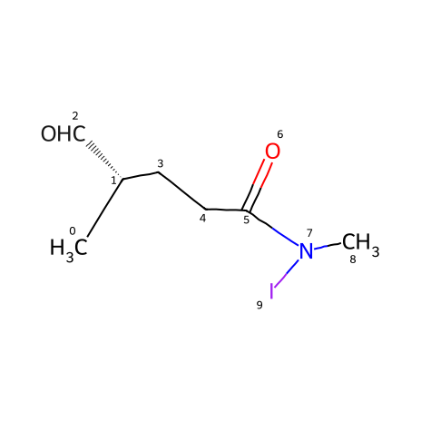 C[C@H](C=O)CCC(=O)N(C)I